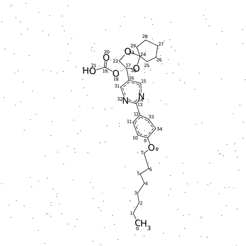 CCCCCCCCOc1ccc(-c2ncc([C@@]3(OC(=O)O)COC4(CCCCC4)O3)cn2)cc1